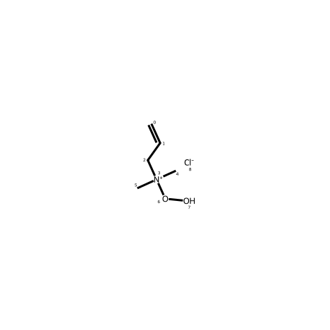 C=CC[N+](C)(C)OO.[Cl-]